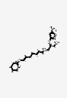 Cc1cc(O[C@@H](CO)COCCCCCCCOC2CCCCO2)no1